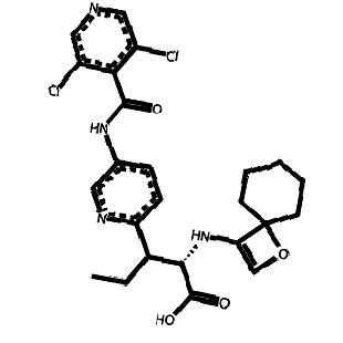 CCC(c1ccc(NC(=O)c2c(Cl)cncc2Cl)cn1)[C@H](NC1=COC12CCCCC2)C(=O)O